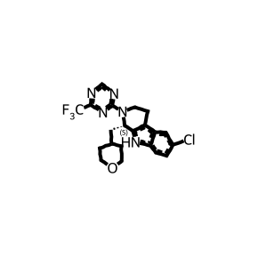 FC(F)(F)c1ncnc(N2CCc3c([nH]c4ccc(Cl)cc34)[C@@H]2CC2CCOCC2)n1